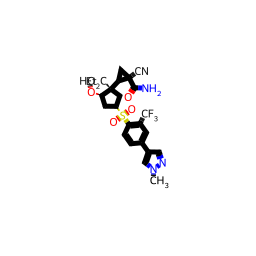 CCO[C@H]1C[C@@H](S(=O)(=O)c2ccc(-c3cnn(C)c3)cc2C(F)(F)F)C[C@]1(C(=O)O)C1CC1(C#N)C(N)=O